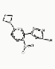 O=[N+]([O-])c1ccc(N2CCC2)cc1-c1nnc(S)s1